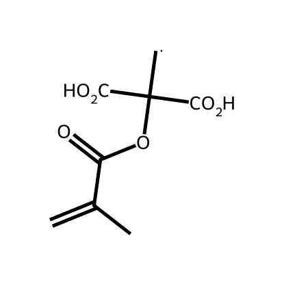 [CH2]C(OC(=O)C(=C)C)(C(=O)O)C(=O)O